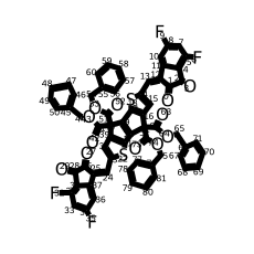 O=C1C(=O)c2c(F)cc(F)cc2/C1=C/c1cc2c(s1)C1=C(c3sc(/C=C4\C(=O)C(=O)c5c(F)cc(F)cc54)cc3C1(C(=O)OCc1ccccc1)C(=O)OCc1ccccc1)C2(C(=O)OCc1ccccc1)C(=O)OCc1ccccc1